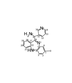 Cc1ccc2c(c1)N=C(C(N)c1cccnc1)c1ccccc1N2